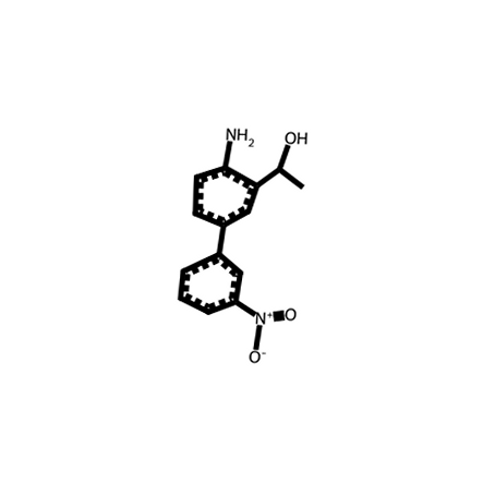 CC(O)c1cc(-c2cccc([N+](=O)[O-])c2)ccc1N